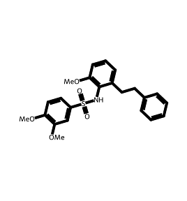 COc1ccc(S(=O)(=O)Nc2c(CCc3ccccc3)cccc2OC)cc1OC